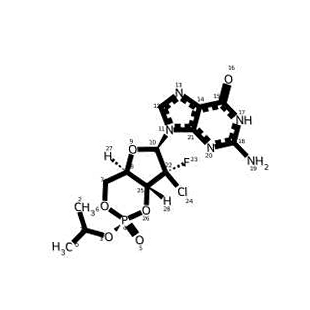 CC(C)O[P@]1(=O)OC[C@H]2O[C@@H](n3cnc4c(=O)[nH]c(N)nc43)[C@@](F)(Cl)[C@@H]2O1